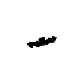 Cc1ccc(COc2ccc3[nH]c(C(C#N)Cc4ccc(-c5ccc(C(F)(F)F)cn5)cc4)c(SC(C)(C)C)c3c2C)nc1